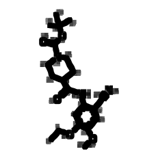 CCOc1cc(NC(=O)C2CCN(C(=O)OC(C)(C)C)CC2)c(C#N)cc1OC